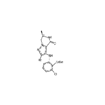 COc1c(Cl)cccc1Nc1c(Br)nn2c1C(=O)N[C@H](C)C2